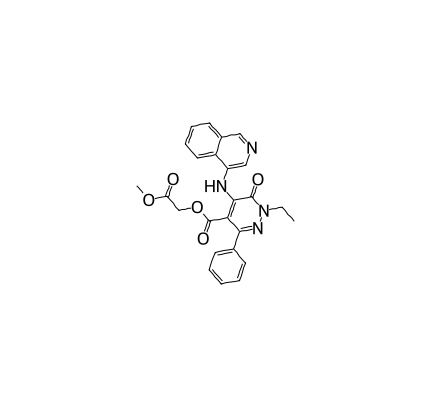 CCn1nc(-c2ccccc2)c(C(=O)OCC(=O)OC)c(Nc2cncc3ccccc23)c1=O